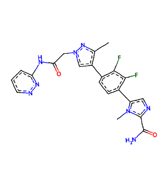 Cc1nn(CC(=O)Nc2cccnn2)cc1-c1ccc(-c2cnc(C(N)=O)n2C)c(F)c1F